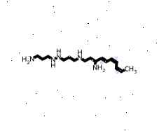 C\C=C/C=C\C=C\C(N)CCNCCCNNCCCN